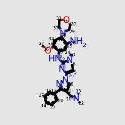 C=N/C(=N\C(=C/C)n1cc(CN(C)C)c(-c2ccccc2)n1)Nc1cc(N)c(N2CCOCC2)cc1OC